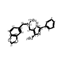 CCCCc1nc(-c2ccccc2)[nH]c1CN(CCCC)Cc1ccc2c(c1)OCO2